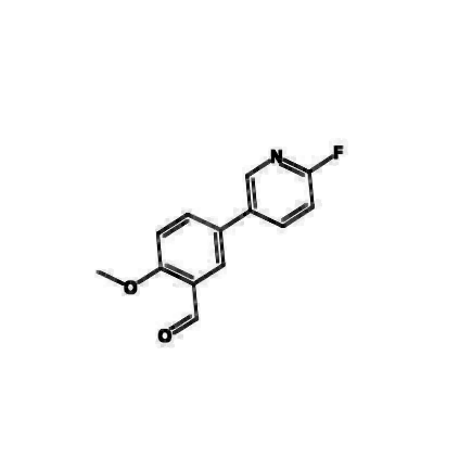 COc1ccc(-c2ccc(F)nc2)cc1C=O